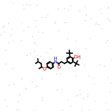 CC(C)CC(C)Oc1ccc(NC(=O)CCc2cc(C(C)(C)C)c(O)c(C(C)(C)C)c2)cc1